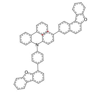 c1ccc(-c2ccccc2N(c2ccc(-c3ccc4c(ccc5oc6ccccc6c54)c3)cc2)c2ccc(-c3cccc4c3oc3ccccc34)cc2)cc1